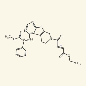 CCOC(=O)/C=C/C(=O)N1CCc2c(sc3ncnc(N[C@H](C(=O)OC)c4ccccc4)c23)C1